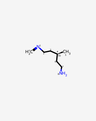 C=NCC[C@@H](C)CCN